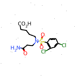 NC(=O)CCN(CCCCC(=O)O)S(=O)(=O)c1ccc(Cl)cc1Cl